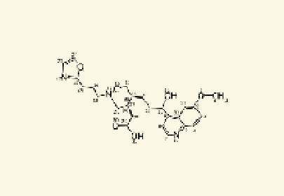 COc1ccc2nccc(C(O)CC[C@@H]3CCN(CCCc4ncco4)C[C@@H]3CC(=O)O)c2c1